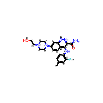 Cc1ccc(Nc2c(C(N)=O)nnc3cc(N4CCN(CCO)CC4)ccc23)c(F)c1